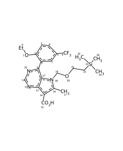 CCOc1ccc(C(F)(F)F)cc1-c1ncnc2c(C(=O)O)c(C)n(COCC[Si](C)(C)C)c12